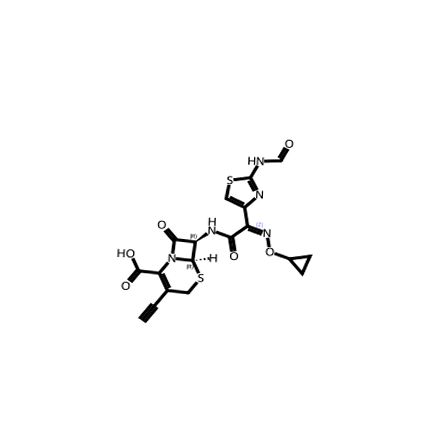 C#CC1=C(C(=O)O)N2C(=O)[C@@H](NC(=O)/C(=N\OC3CC3)c3csc(NC=O)n3)[C@H]2SC1